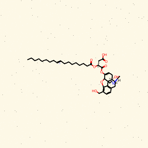 CCCCCCCC/C=C/CCCCCCCC(=O)O[C@@H](CC(=O)O)C(=O)OC1=CC[C@@]2(O)[C@H]3Cc4ccc(CO)c5c4C2(CCN3C)C1O5